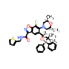 C[C@@H]1CN(c2c(CO[Si](c3ccccc3)(c3ccccc3)C(C)(C)C)cc3c(C(=O)NCc4cccs4)noc3c2F)C[C@H](C)O1